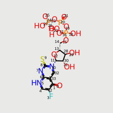 O=c1c(F)c[nH]c2nc(=S)n([C@@H]3O[C@H](COP(=O)(O)OP(=O)(O)OP(=O)(O)O)C(O)[C@@H]3O)cc12